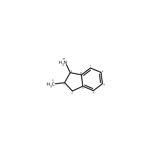 CC1Cc2ccccc2C1N